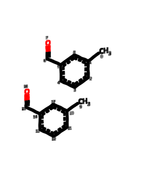 Cc1cccc(C=O)c1.Cc1cccc(C=O)c1